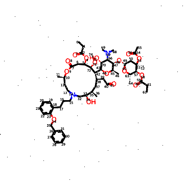 CCC(=O)O[C@@H]1CC(=O)O[C@H](C)CCN(CCCc2ccccc2OCc2ccccc2)C[C@H](O)[C@H](C)C[C@H](CC=O)[C@H]([C@@H]2O[C@H](C)[C@@H](O[C@@H]3C[C@@](C)(OC(C)=O)[C@@H](OC(=O)CC)[C@H](C)O3)[C@H](N(C)C)[C@H]2O)[C@@H]1OC